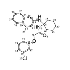 Cc1cc(NC2(NC(=O)COc3cccc(Cl)c3)CCCCC2)nc2ccccc12